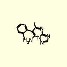 Cc1ccccc1-c1c(C)nc2ncnn2c1N